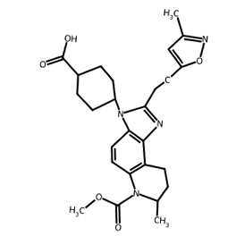 COC(=O)N1c2ccc3c(nc(CCc4cc(C)no4)n3C3CCC(C(=O)O)CC3)c2CCC1C